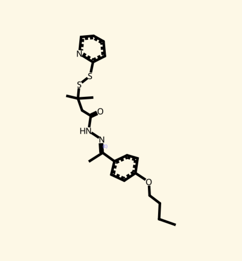 CCCCOc1ccc(/C(C)=N/NC(=O)CC(C)(C)SSc2ccccn2)cc1